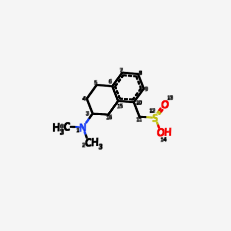 CN(C)C1CCc2cccc(CS(=O)O)c2C1